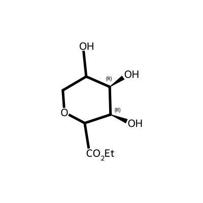 CCOC(=O)C1OCC(O)[C@@H](O)[C@H]1O